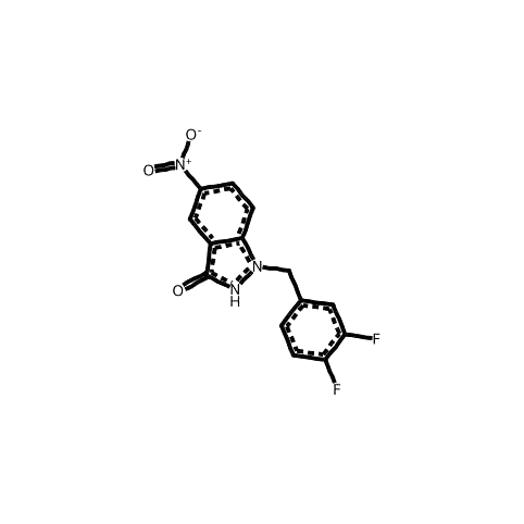 O=c1[nH]n(Cc2ccc(F)c(F)c2)c2ccc([N+](=O)[O-])cc12